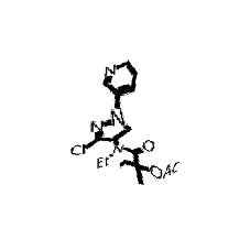 CCN(C(=O)C(C)(C)OC(C)=O)c1cn(-c2cccnc2)nc1Cl